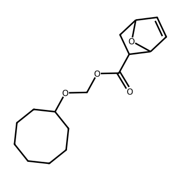 O=C(OCOC1CCCCCCC1)C1CC2C=CC1O2